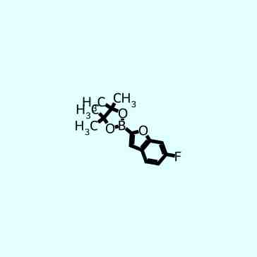 CC1(C)OB(c2cc3ccc(F)cc3o2)OC1(C)C